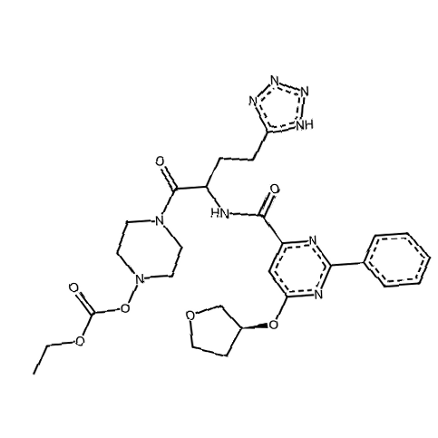 CCOC(=O)ON1CCN(C(=O)C(CCc2nnn[nH]2)NC(=O)c2cc(O[C@H]3CCOC3)nc(-c3ccccc3)n2)CC1